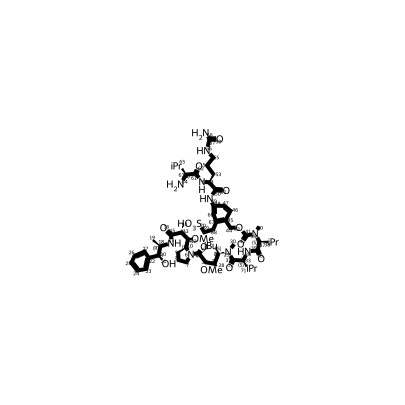 CC[C@H](C)[C@@H]([C@@H](CC(=O)N1CCC[C@H]1[C@H](OC)[C@@H](C)C(=O)N[C@H](C)[C@@H](O)c1ccccc1)OC)N(C)C(=O)[C@@H](NC(=O)[C@H](C(C)C)N(C)C(=O)OCc1ccc(NC(=O)[C@H](CCCNC(N)=O)NC(=O)[C@@H](N)C(C)C)cc1CCS(=O)(=O)O)C(C)C